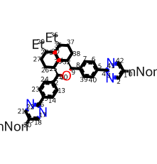 CCCCCCCCCc1cnc(-c2ccc(C(OC(c3ccc(-c4ncc(CCCCCCCCC)cn4)cc3)[C@H]3CC[C@H](CC)CC3)[C@H]3CC[C@H](CC)CC3)cc2)nc1